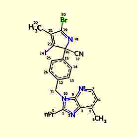 CCCc1nc2c(C)ccnc2n1Cc1ccc(C2(C#N)N=C(Br)C(C)=C2I)cc1